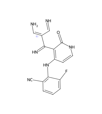 N#Cc1cccc(F)c1Nc1cc[nH]c(=O)c1C(=N)/C(C=N)=C/N